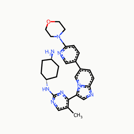 Cc1cnc(N[C@H]2CC[C@H](N)CC2)nc1-c1cnc2ccc(-c3ccc(N4CCOCC4)nc3)cn12